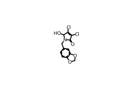 O=C1C(Cl)=C(Cl)C(O)N1Cc1ccc2c(c1)OCO2